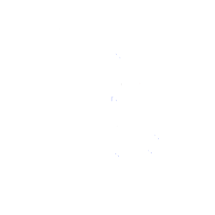 Cn1cc([C@](C)(CNC(=O)c2cc(-c3ccc(F)cc3F)on2)c2nc(Cl)cs2)cn1